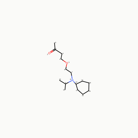 CC(=O)CCOCCN(C(C)C)C1CCCCC1